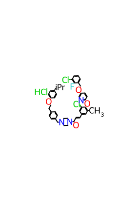 Cc1cc(/C=C/C(=O)N2CCN(Cc3ccc(CCOc4ccc(C(C)C)cc4)cc3)CC2)cc(Cl)c1Oc1ccc(OCc2cccc(Cl)c2F)cn1.Cl